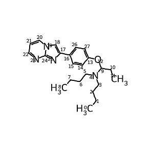 CCCCN(CCCC)C(CC)Oc1ccc(-c2cn3cccnc3n2)cc1